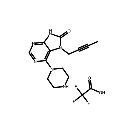 CC#CCn1c(=O)[nH]c2ncnc(N3CCNCC3)c21.O=C(O)C(F)(F)F